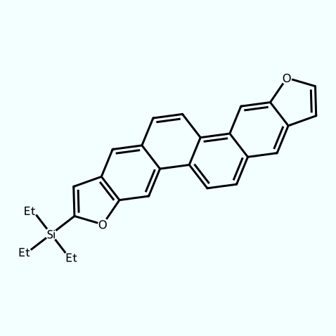 CC[Si](CC)(CC)c1cc2cc3ccc4c5cc6occc6cc5ccc4c3cc2o1